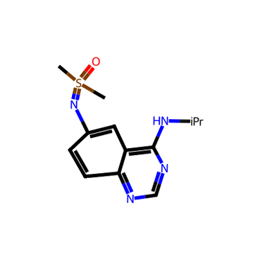 CC(C)Nc1ncnc2ccc(N=S(C)(C)=O)cc12